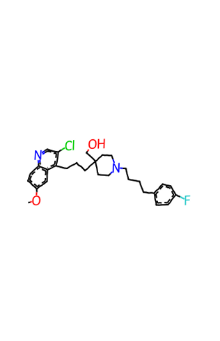 COc1ccc2ncc(Cl)c(CCCC3(CO)CCN(CCCCc4ccc(F)cc4)CC3)c2c1